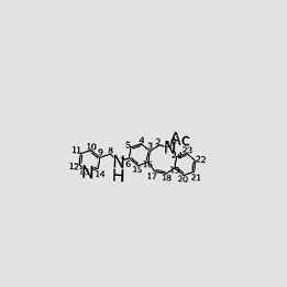 CC(=O)N1Cc2ccc(NCc3cccnc3)cc2C=Cc2ccccc21